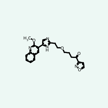 COc1nc2ccccc2cc1-c1cnc(CCOCCCC(=O)c2ccon2)[nH]1